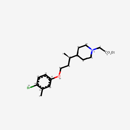 CCOC(=O)CN1CCC([C@H](C)CCOc2ccc(Br)c(C)c2)CC1